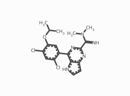 CC(C)Oc1cc(-c2nc(C(=N)N(C)C)nc3cc[nH]c23)c(Cl)cc1Cl